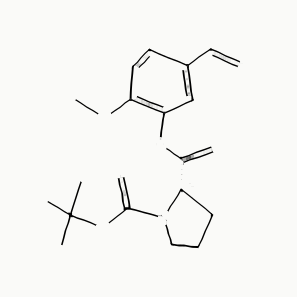 COc1ccc(C=O)cc1OC(=O)[C@@H]1CCCN1C(=O)OC(C)(C)C